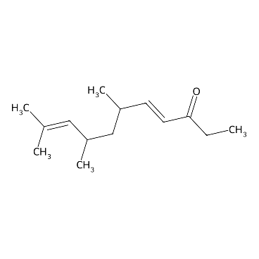 CCC(=O)/C=C/C(C)CC(C)C=C(C)C